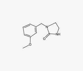 COc1cccc(CN2CCNC2=O)c1